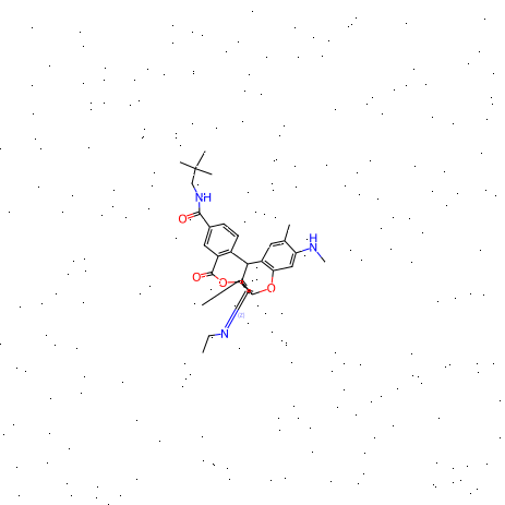 CC/N=C1/C=C2Oc3cc(NC)c(C)cc3C3c4ccc(C(=O)NCC(C)(C)C)cc4C(=O)OC23C=C1C